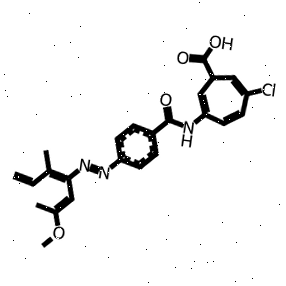 C=C/C(C)=C(\C=C(/C)OC)N=Nc1ccc(C(=O)NC2=CC(C(=O)O)C=C(Cl)C=C2)cc1